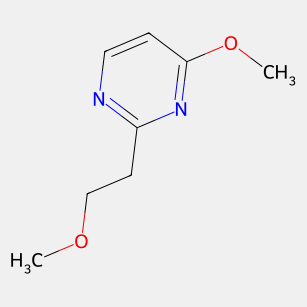 COCCc1nccc(OC)n1